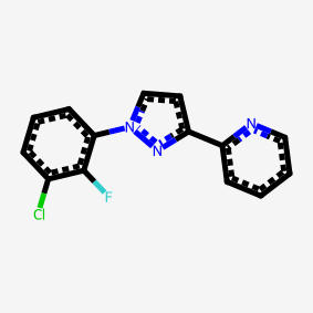 Fc1c(Cl)cccc1-n1ccc(-c2ccccn2)n1